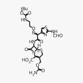 CC(C)(C)OC(=O)NCCON=C(C(=O)NC1C(=O)N2C(C(=O)O)=C(COC(N)=O)CS[C@@H]12)c1csc(NC=O)n1